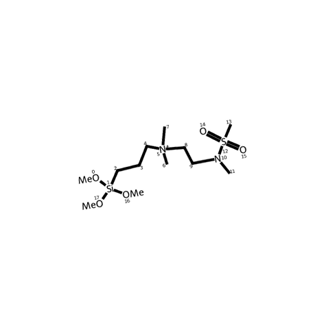 CO[Si](CCC[N+](C)(C)CCN(C)S(C)(=O)=O)(OC)OC